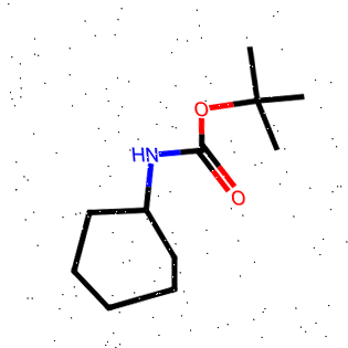 CC(C)(C)OC(=O)NC1CCCCC1